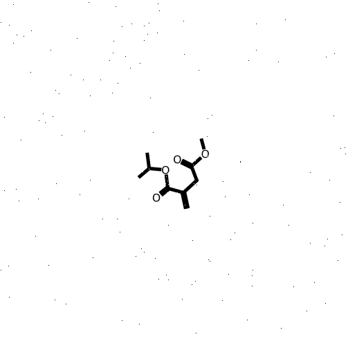 C=C(CC(=O)OC)C(=O)OC(C)C